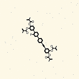 C=C(C)C(=O)Oc1ccc(C#Cc2ccc(-c3ccc(-c4ccc(OC(=O)C(=C)C)c(OC(=O)C(=C)C)c4)c(F)c3)cc2)cc1OC(=O)C(=C)C